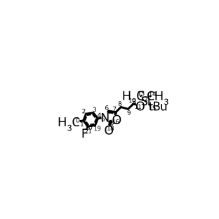 Cc1ccc(-n2cc(CCCO[Si](C)(C)C(C)(C)C)oc2=O)cc1F